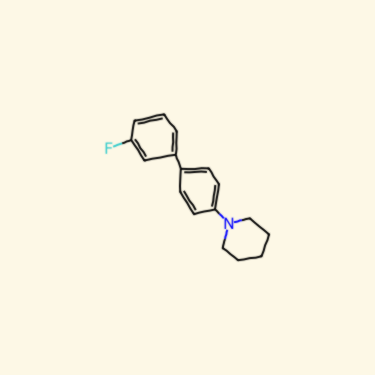 Fc1cccc(-c2ccc(N3CCCCC3)cc2)c1